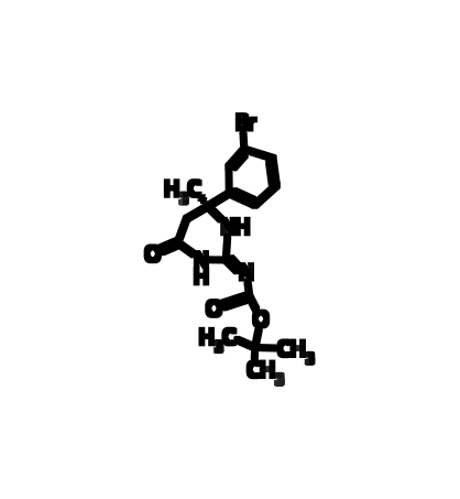 CC(C)(C)OC(=O)/N=C1\NC(=O)C[C@@](C)(c2cccc(Br)c2)N1